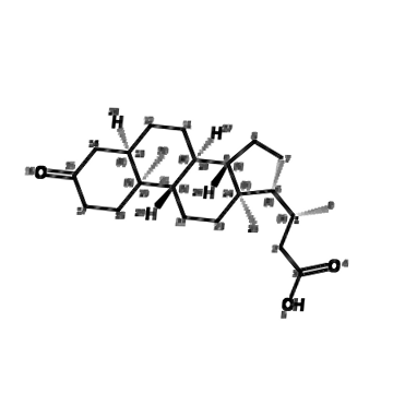 C[C@H](CC(=O)O)[C@H]1CC[C@H]2[C@@H]3CC[C@@H]4CC(=O)CC[C@]4(C)[C@H]3CC[C@]12C